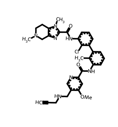 C#CCNCc1cnc(C(=O)Nc2cccc(-c3cccc(NC(=O)c4nc5c(n4C)CCN(C)C5)c3Cl)c2C)cc1OC